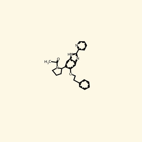 CC(=O)N1CCCC1c1cc2[nH]c(-c3ccccn3)nc2cc1OCCc1ccccc1